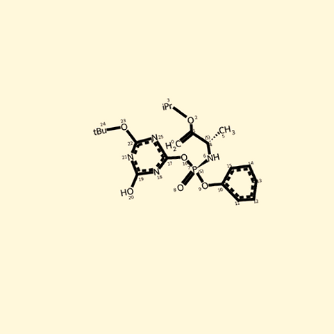 C=C(OC(C)C)[C@H](C)N[P@](=O)(Oc1ccccc1)Oc1nc(O)nc(OC(C)(C)C)n1